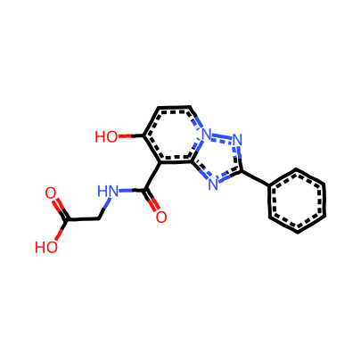 O=C(O)CNC(=O)c1c(O)ccn2nc(-c3ccccc3)nc12